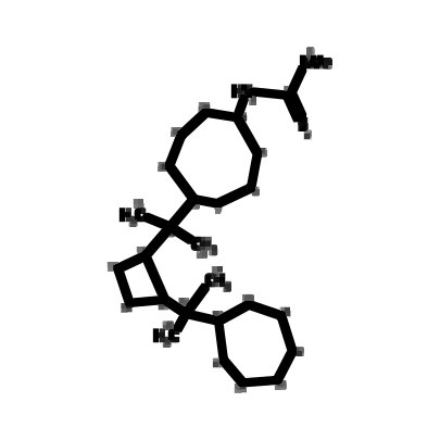 CNC(=S)NC1CCCC(C(C)(C)C2CCC2C(C)(C)C2CCCCCC2)CCC1